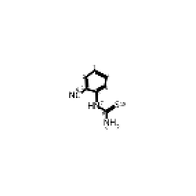 N#Cc1ccccc1NC(N)=S